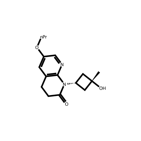 CCCOc1cnc2c(c1)CCC(=O)N2[C@H]1C[C@@](C)(O)C1